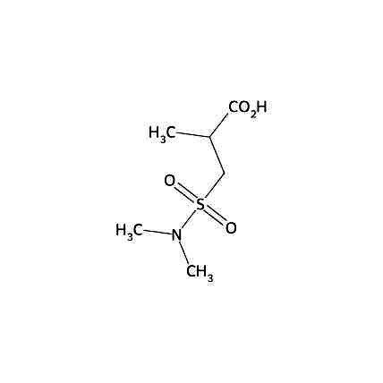 CC(CS(=O)(=O)N(C)C)C(=O)O